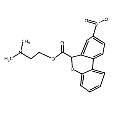 CN(C)CCOC(=O)C1Oc2ccccc2-c2ccc([N+](=O)[O-])cc21